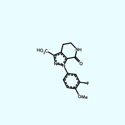 COc1ccc(-n2nc(C(=O)O)c3c2C(=O)NCC3)cc1F